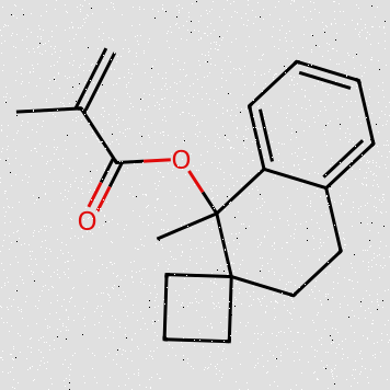 C=C(C)C(=O)OC1(C)c2ccccc2CCC12CCC2